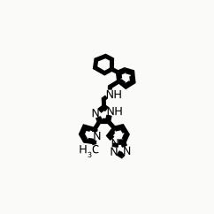 Cc1cccc(-c2nc(CNCc3ccccc3C3CCCCC3)[nH]c2-c2ccc3ncnn3c2)n1